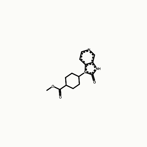 COC(=O)C1CCC(n2c(=O)[nH]c3cnccc32)CC1